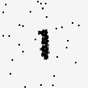 O=C(CC(=O)Oc1cccc(F)c1)Cc1ccnc(C[SH](=O)=O)n1